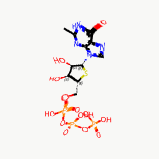 Cc1nc2c(ncn2[C@@H]2S[C@H](COP(=O)(O)OP(=O)(O)OP(=O)(O)O)[C@@H](O)[C@H]2O)c(=O)[nH]1